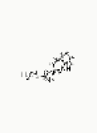 C=CCC1=NCN(C2=NNc3ccccc3C=C2)O1